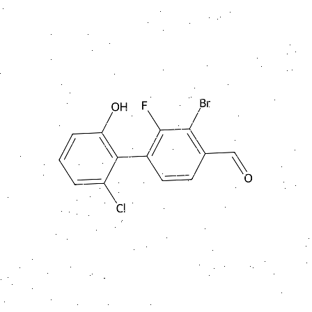 O=Cc1ccc(-c2c(O)cccc2Cl)c(F)c1Br